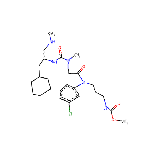 CNCC(CC1CCCCC1)NC(=O)N(C)CC(=O)N(CCCNC(=O)OC)c1cccc(Cl)c1